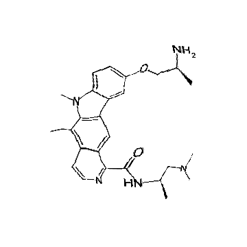 Cc1c2ccnc(C(=O)N[C@H](C)CN(C)C)c2cc2c3cc(OC[C@H](C)N)ccc3n(C)c12